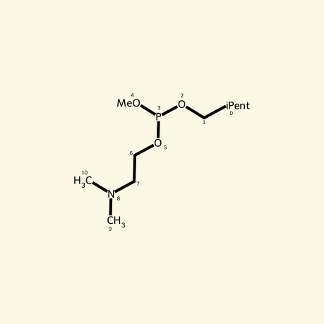 CCCC(C)COP(OC)OCCN(C)C